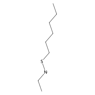 CCCCCCS[N]CC